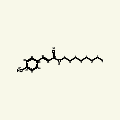 CCCCCCCCOC(=O)/C=C/c1ccc(O)cc1